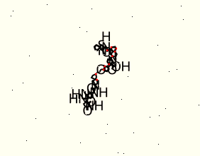 CNc1cc(NC(=O)CN2CCC3(CC[C@H](CCOc4cccc(-c5ccc(N6CCc7cccc(C(=O)Nc8nc9ccccc9s8)c7C6)nc5C(=O)O)c4C)C3)CC2)ccc1C(=N)C1CCC(=O)NC1=O